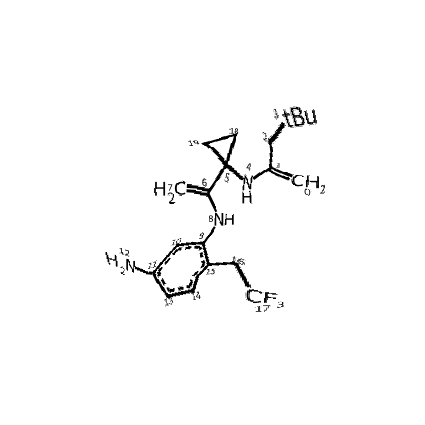 C=C(CC(C)(C)C)NC1(C(=C)Nc2cc(N)ccc2CC(F)(F)F)CC1